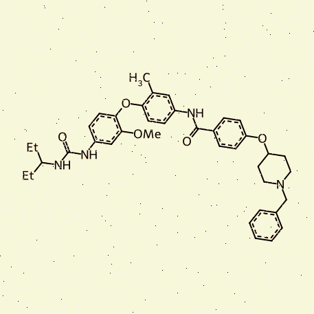 CCC(CC)NC(=O)Nc1ccc(Oc2ccc(NC(=O)c3ccc(OC4CCN(Cc5ccccc5)CC4)cc3)cc2C)c(OC)c1